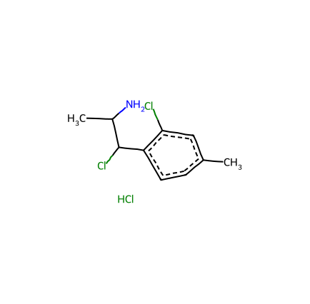 Cc1ccc(C(Cl)C(C)N)c(Cl)c1.Cl